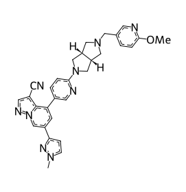 COc1ccc(CN2C[C@@H]3CN(c4ccc(-c5cc(-c6ccn(C)n6)cn6ncc(C#N)c56)cn4)C[C@@H]3C2)cn1